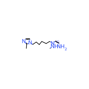 CNN(/C=C\N)CCCCCCn1ccnc1C